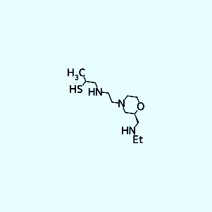 CCNC[C@H]1CN(CCNCC(C)S)CCO1